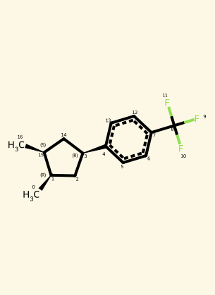 C[C@@H]1C[C@H](c2ccc(C(F)(F)F)cc2)C[C@@H]1C